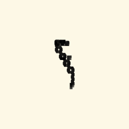 COCC1CCC(c2ccc(-c3ccc(C4CCC(CCCCCF)CC4)cc3F)cc2)CC1